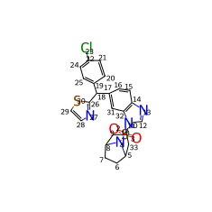 CS(=O)(=O)N1C2CCC1CC(n1cnc3ccc(C(c4ccc(Cl)cc4)c4nccs4)cc31)C2